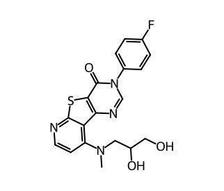 CN(CC(O)CO)c1ccnc2sc3c(=O)n(-c4ccc(F)cc4)cnc3c12